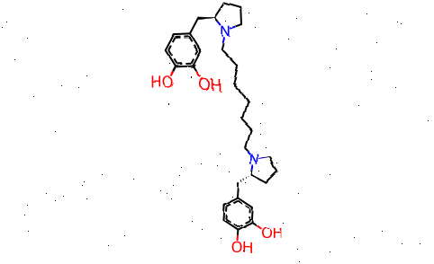 Oc1ccc(C[C@H]2CCCN2CCCCCCCN2CCC[C@@H]2Cc2ccc(O)c(O)c2)cc1O